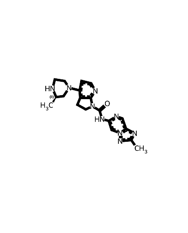 Cc1nc2cnc(NC(=O)N3CCc4c(N5CCN[C@H](C)C5)ccnc43)cn2n1